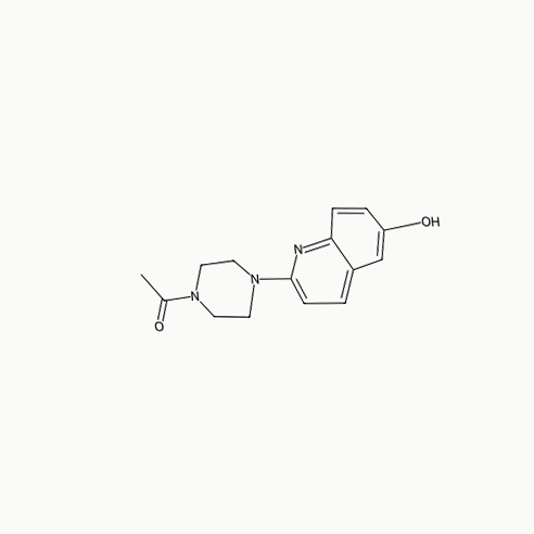 CC(=O)N1CCN(c2ccc3cc(O)ccc3n2)CC1